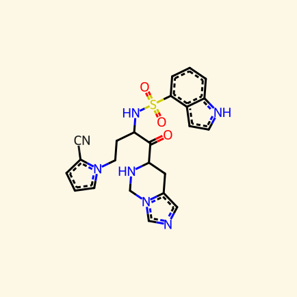 N#Cc1cccn1CCC(NS(=O)(=O)c1cccc2[nH]ccc12)C(=O)C1Cc2cncn2CN1